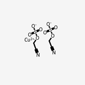 N#CCOS(=O)(=O)[O-].N#CCOS(=O)(=O)[O-].[Cu+2]